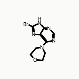 Brc1nc2c(N3CCOCC3)ncnc2[nH]1